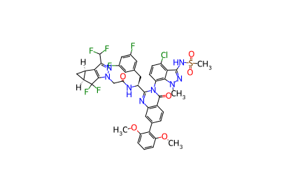 COc1cccc(OC)c1-c1ccc2c(=O)n(-c3ccc(Cl)c4c(NS(C)(=O)=O)nn(C)c34)c([C@H](Cc3cc(F)cc(F)c3)NC(=O)Cn3nc(C(F)F)c4c3C(F)(F)[C@H]3C[C@@H]43)nc2c1